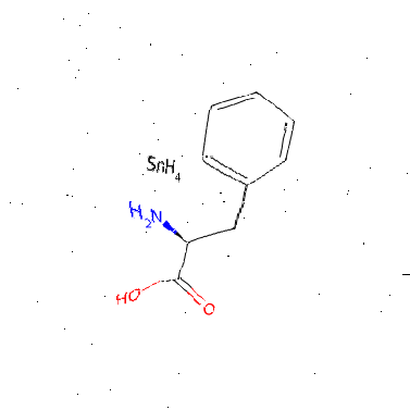 N[C@@H](Cc1ccccc1)C(=O)O.[SnH4]